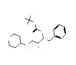 CC(C)(C)OC(=O)N[C@@H](Cc1ccccc1)[C@@H](O)CNC1CCOCC1